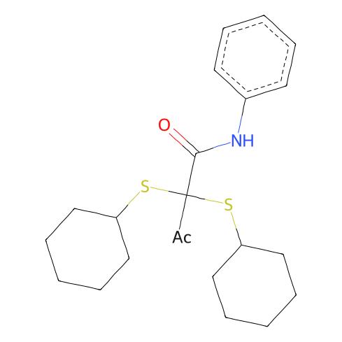 CC(=O)C(SC1CCCCC1)(SC1CCCCC1)C(=O)Nc1ccccc1